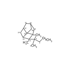 COCC(C)(C)C1(C)C2CC3CC(C2)CC1C3